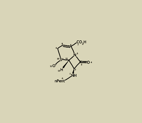 CCCCCN[C@@H]1C(=O)N2C(C(=O)O)=CC[S+]([O-])[C@@H]12